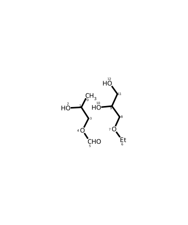 CC(O)COC=O.CCOCC(O)CO